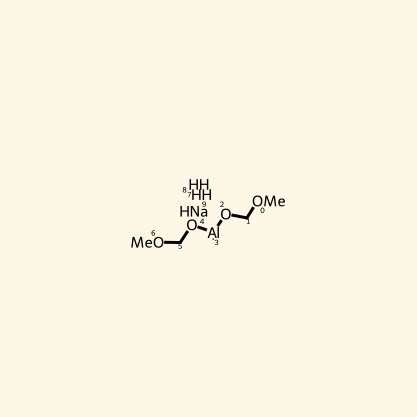 COC[O][Al][O]COC.[HH].[HH].[NaH]